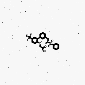 CN(Cc1cccc(-c2cc(C(F)(F)F)ccc2OCC(=O)O)c1)S(=O)(=O)c1ccccc1